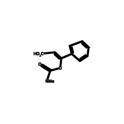 CNC(=O)OC(=CC(=O)O)c1cc[c]cc1